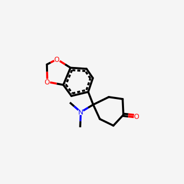 CN(C)C1(c2ccc3c(c2)OCO3)CCC(=O)CC1